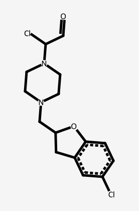 O=CC(Cl)N1CCN(CC2Cc3cc(Cl)ccc3O2)CC1